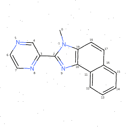 Cn1c(-c2cnccn2)nc2c3ccccc3ccc21